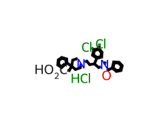 CN(CC(CCN1CCC(CC(=O)O)(c2ccccc2)CC1)c1ccc(Cl)c(Cl)c1)C(=O)c1ccccc1.Cl